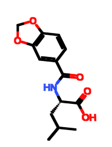 CC(C)C[C@H](NC(=O)c1ccc2c(c1)OCO2)C(=O)O